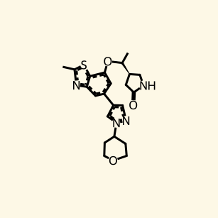 Cc1nc2cc(-c3cnn(C4CCOCC4)c3)cc(OC(C)[C@H]3CNC(=O)C3)c2s1